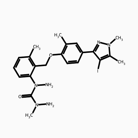 Cc1cc(-c2nn(C)c(C)c2I)ccc1OCc1c(C)cccc1N(N)C(=O)N(C)N